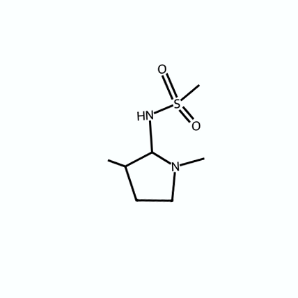 CC1CCN(C)C1NS(C)(=O)=O